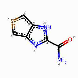 NC(=O)c1nc2cscc2[nH]1